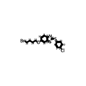 Clc1ccc(Sc2nc3ccc(OCCCCBr)cc3s2)cc1